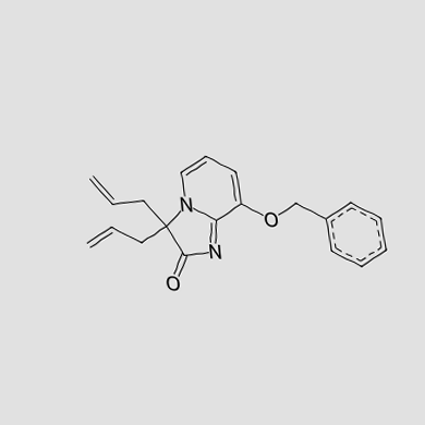 C=CCC1(CC=C)C(=O)N=C2C(OCc3ccccc3)=CC=CN21